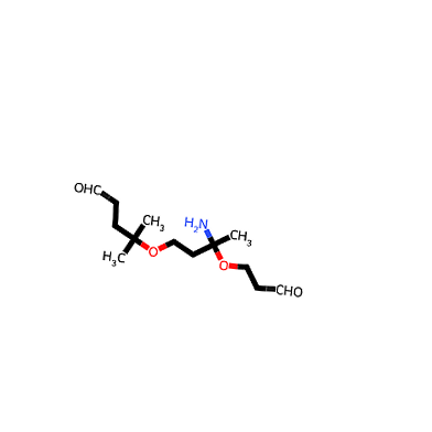 CC(C)(CCC=O)OCCC(C)(N)OCCC=O